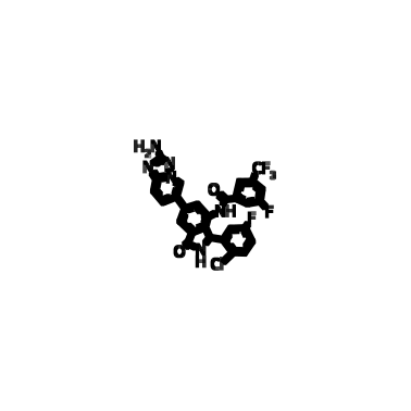 Nc1nc2ccc(-c3cc(NC(=O)c4cc(F)cc(C(F)(F)F)c4)c4c(c3)C(=O)NC4c3cc(F)ccc3Cl)cn2n1